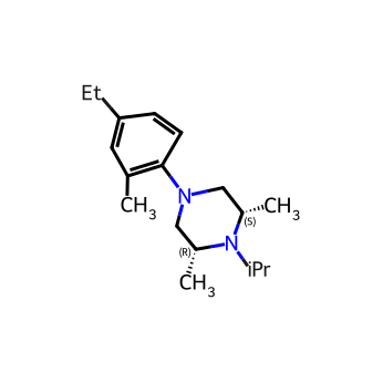 CCc1ccc(N2C[C@@H](C)N(C(C)C)[C@@H](C)C2)c(C)c1